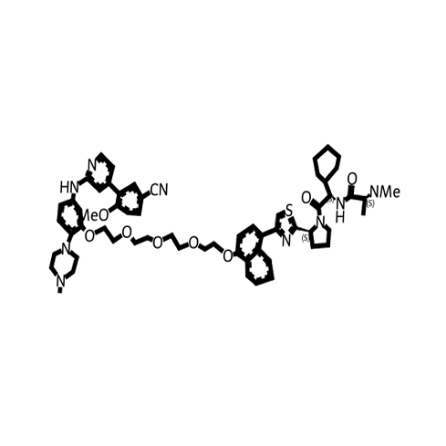 CN[C@@H](C)C(=O)N[C@H](C(=O)N1CCC[C@H]1c1nc(-c2ccc(OCCOCCOCCOCCOc3cc(Nc4cc(-c5cc(C#N)ccc5OC)ccn4)ccc3N3CCN(C)CC3)c3ccccc23)cs1)C1CCCCC1